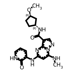 CNc1cc(Nc2ccc[nH]c2=O)nc2c(C(=O)N[C@@H]3CC[C@@H](OC)C3)cnn12